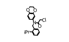 CC(C)c1ccccc1CN(C(=O)CCl)c1ccc2c(c1)OCCO2